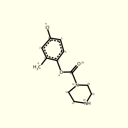 Cc1cc(Cl)ccc1OC(=O)N1CCNCC1